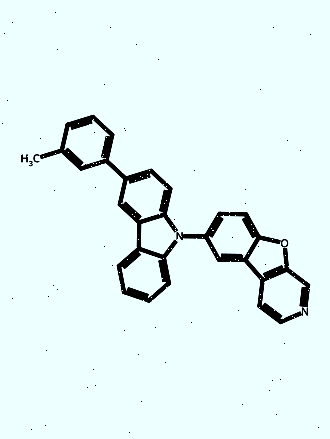 Cc1cccc(-c2ccc3c(c2)c2ccccc2n3-c2ccc3oc4cnccc4c3c2)c1